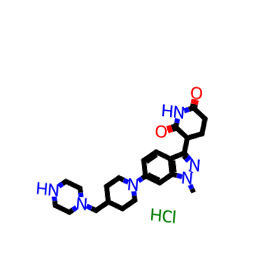 Cl.Cn1nc(C2CCC(=O)NC2=O)c2ccc(N3CCC(CN4CCNCC4)CC3)cc21